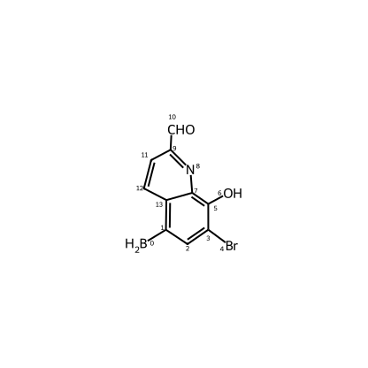 Bc1cc(Br)c(O)c2nc(C=O)ccc12